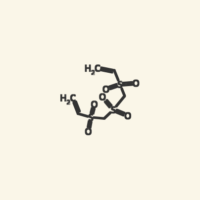 C=CS(=O)(=O)CS(=O)(=O)CS(=O)(=O)C=C